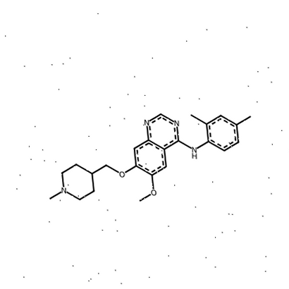 COc1cc2c(Nc3ccc(C)cc3C)ncnc2cc1OCC1CCN(C)CC1